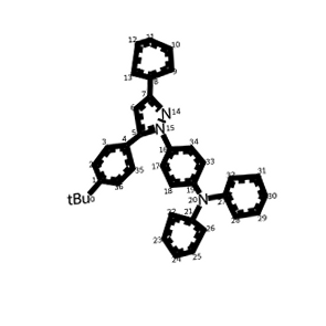 CC(C)(C)c1ccc(-c2cc(-c3ccccc3)nn2-c2ccc(N(c3ccccc3)c3ccccc3)cc2)cc1